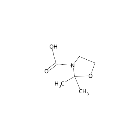 CC1(C)OCCN1C(=O)O